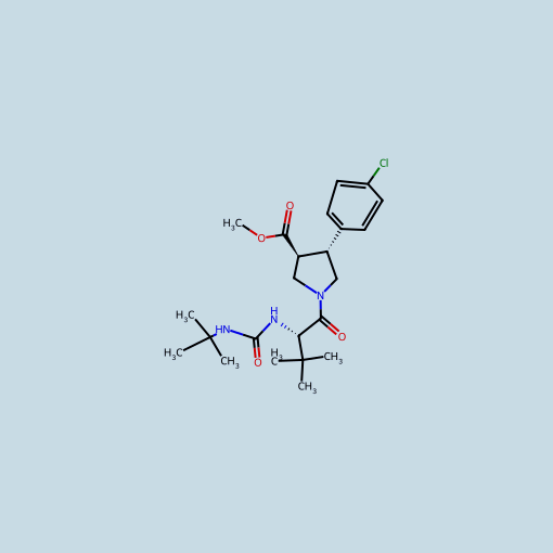 COC(=O)[C@@H]1CN(C(=O)[C@@H](NC(=O)NC(C)(C)C)C(C)(C)C)C[C@H]1c1ccc(Cl)cc1